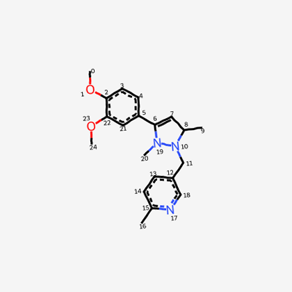 COc1ccc(C2=CC(C)N(Cc3ccc(C)nc3)N2C)cc1OC